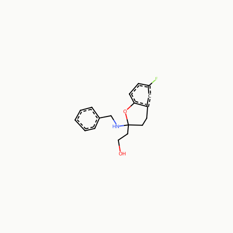 OCCC1(NCc2ccccc2)CCc2cc(F)ccc2O1